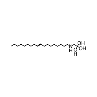 CCCCCCCCC=CCCCCCCCCNCC(O)(O)O